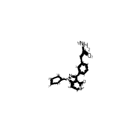 NC(=O)Cc1cccc(-c2nn(C3CCCC3)c3cc[nH]c(=O)c23)c1